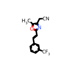 Cc1oc(C=Cc2cccc(C(F)(F)F)c2)nc1CC#N